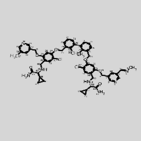 C/N=C/c1cncc(COc2cc(OCc3cccc(-c4cccc(COc5cc(OCc6cncc(C)c6)c(CN[C@H](C(N)=O)C6CC6)cc5Cl)c4C)c3C)c(Cl)cc2CN[C@H](C(N)=O)C2CC2)c1